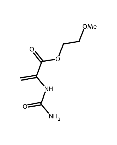 C=C(NC(N)=O)C(=O)OCCOC